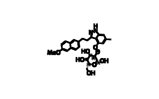 COc1ccc2cc(CCc3n[nH]c4cc(C)cc(OO[C@@H]5[C@@H](O)[C@H](O)[C@@H](CO)O[C@H]5O)c34)ccc2c1